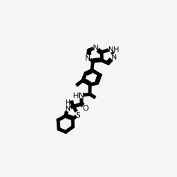 Cc1cc(-c2ncnc3[nH]ncc23)ccc1C(C)NC(=O)C1(C)NC2=C(CCCC2)S1